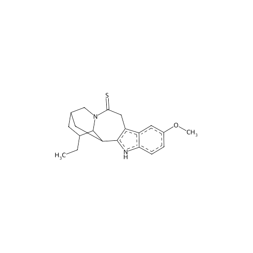 CCC1CC2CC3c4[nH]c5ccc(OC)cc5c4CC(=S)N(C2)C13